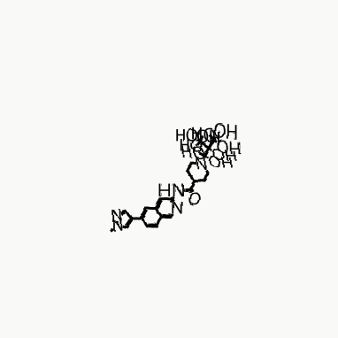 Cn1cc(-c2ccc3cnc(NC(=O)C4CCN(C(O)(O)C(O)(C(O)(O)O)C(O)(O)O)CC4)cc3c2)cn1